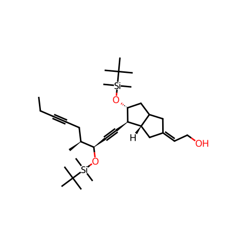 CCC#CC[C@H](C)[C@@H](C#C[C@H]1[C@H](O[Si](C)(C)C(C)(C)C)CC2C/C(=C\CO)C[C@@H]21)O[Si](C)(C)C(C)(C)C